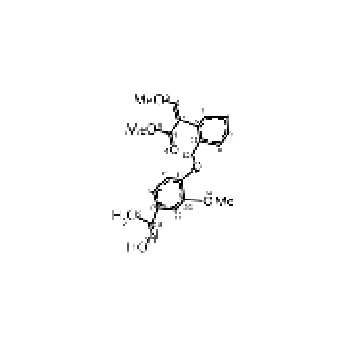 COC=C(C(=O)OC)c1ccccc1COc1ccc(C(C)=NO)cc1OC